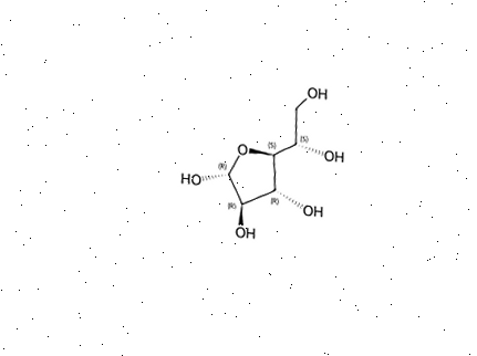 OC[C@H](O)[C@@H]1O[C@@H](O)[C@H](O)[C@H]1O